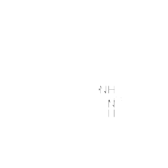 C=C(CCCCCCCCCCCCCCCCCCC)NCCC1=CNC2CC=CC=C12